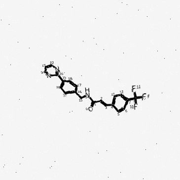 O=C(C=Cc1ccc(C(F)(F)F)cc1)NCc1ccc(-c2ncccn2)cc1